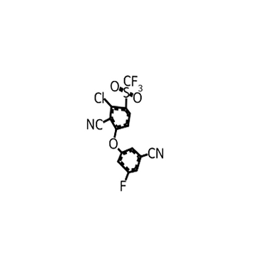 N#Cc1cc(F)cc(Oc2ccc(S(=O)(=O)C(F)(F)F)c(Cl)c2C#N)c1